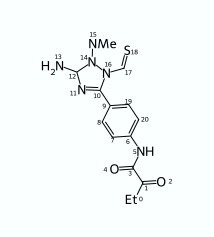 CCC(=O)C(=O)Nc1ccc(C2=NC(N)N(NC)N2C=S)cc1